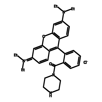 CCN(CC)c1ccc2c(-c3ccccc3C(=O)N3CCNCC3)c3ccc(=[N+](CC)CC)cc-3oc2c1.[Cl-]